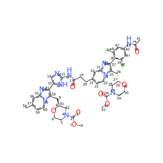 COC(=O)N1CCO[C@@H](Cc2c(-c3cnc(NC(=O)CCc4ccn5c(C[C@H]6CN(C(=O)OC)CCO6)c(-c6c(F)cc(NC(C)=O)cc6F)nc5c4)[nH]3)nc3cc(C)ccn23)C1